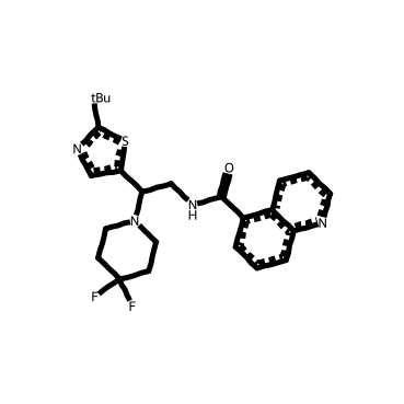 CC(C)(C)c1ncc(C(CNC(=O)c2cccc3ncccc23)N2CCC(F)(F)CC2)s1